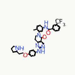 Cc1ccc(NC(=O)c2cccc(C(F)(F)F)c2)cc1N1CCc2nc(Nc3ccc(OCCC4CCCN4)cc3)ncc2C1=O